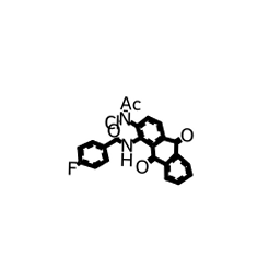 CC(=O)N(Cl)c1ccc2c(c1NC(=O)c1ccc(F)cc1)C(=O)c1ccccc1C2=O